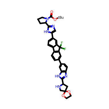 CC(C)(C)OC(=O)N1CCCC1c1ncc(-c2ccc3c(c2)C(F)(F)c2cc(-c4ccc5nc(C6CC7(CN6)OCCO7)[nH]c5c4)ccc2-3)[nH]1